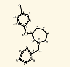 Cc1ccc(OC2CCCCN(Cc3ccccc3)C2)nc1